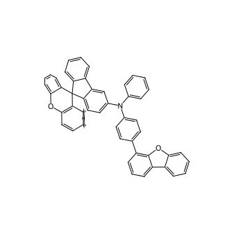 c1ccc(N(c2ccc(-c3cccc4c3oc3ccccc34)cc2)c2ccc3c(c2)-c2ccccc2C32c3ccccc3Oc3ccc4ccccc4c32)cc1